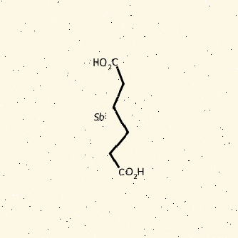 O=C(O)CCCCC(=O)O.[Sb]